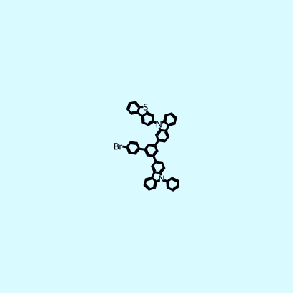 Brc1ccc(-c2cc(-c3ccc4c(c3)c3ccccc3n4-c3ccccc3)cc(-c3ccc4c5ccccc5n(-c5ccc6c(c5)sc5ccccc56)c4c3)c2)cc1